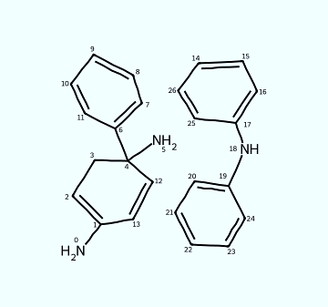 NC1=CCC(N)(c2ccccc2)C=C1.c1ccc(Nc2ccccc2)cc1